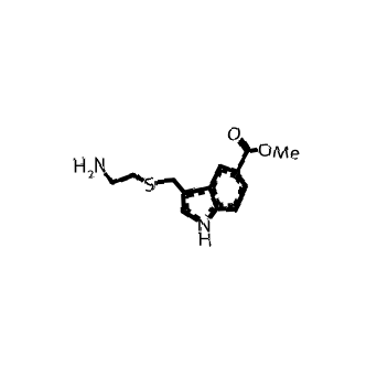 COC(=O)c1ccc2[nH]cc(CSCCN)c2c1